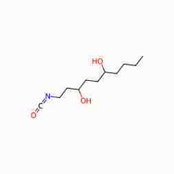 CCCCC(O)CCC(O)CCN=C=O